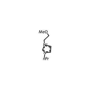 CCCn1cc[n+](CCOC)c1